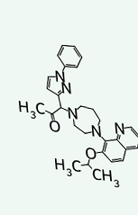 CC(=O)C(c1ccn(-c2ccccc2)n1)N1CCCN(c2c(OC(C)C)ccc3cccnc23)CC1